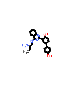 CC[C@@H](N)CNc1nc(-c2cc(-c3ccc(O)cc3)ccc2O)nc2ccccc12